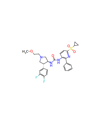 COCCN1C[C@@H](NC(=O)Nc2ccc(S(=O)(=O)C3CC3)nc2-c2ccccc2)[C@H](c2ccc(F)c(F)c2)C1